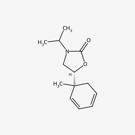 CC(C)N1C[C@@H](C2(C)C=CC=CC2)OC1=O